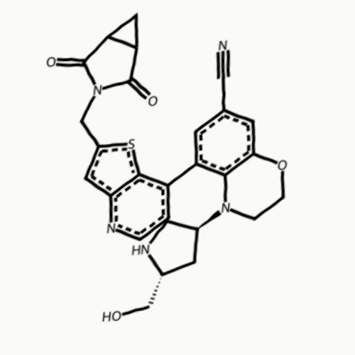 N#Cc1cc2c(c(-c3ccnc4cc(CN5C(=O)C6CC6C5=O)sc34)c1)N([C@@H]1CN[C@@H](CO)C1)CCO2